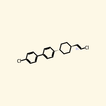 Cl/C=C/[C@H]1CC[C@H](c2ccc(-c3ccc(Cl)cc3)cc2)CC1